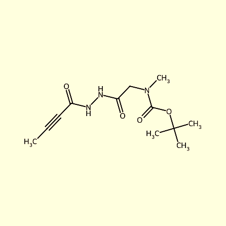 CC#CC(=O)NNC(=O)CN(C)C(=O)OC(C)(C)C